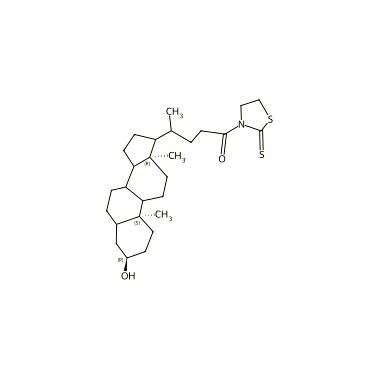 CC(CCC(=O)N1CCSC1=S)C1CCC2C3CCC4C[C@H](O)CC[C@]4(C)C3CC[C@]12C